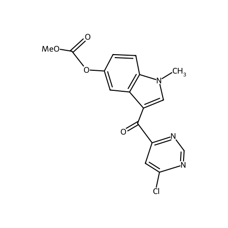 COC(=O)Oc1ccc2c(c1)c(C(=O)c1cc(Cl)ncn1)cn2C